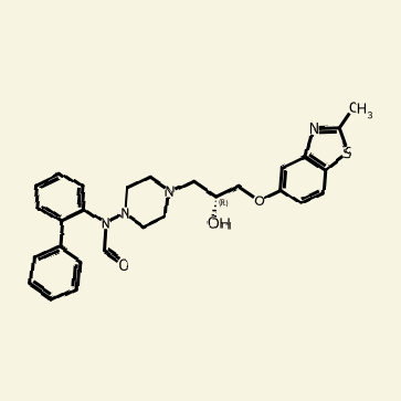 Cc1nc2cc(OC[C@H](O)CN3CCN(N(C=O)c4ccccc4-c4ccccc4)CC3)ccc2s1